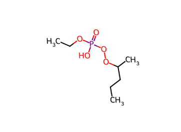 CCCC(C)OOP(=O)(O)OCC